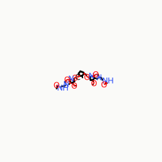 COc1cc(OCc2cccc(COc3cc(OC)c4c(n3)OCN(CCNC(C)=O)C4)c2C)nc2c1CN(CCNC(C)=O)CO2